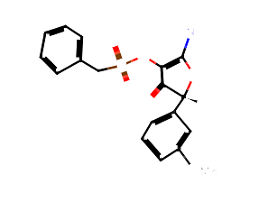 [2H][C@]1(c2cccc(OC)c2)OC(N)=C(OS(=O)(=O)Cc2ccccc2)C1=O